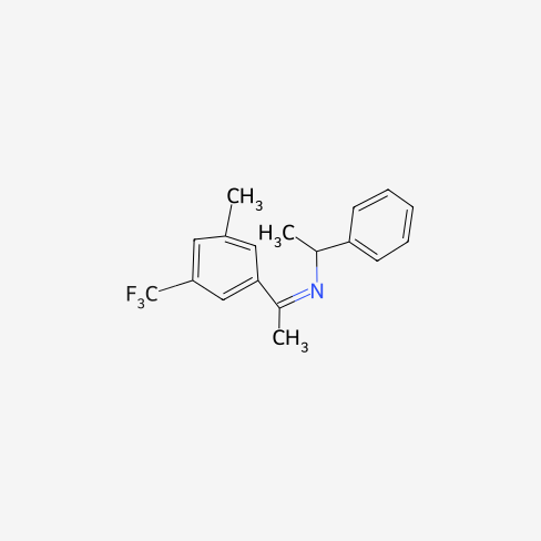 CC(=NC(C)c1ccccc1)c1cc(C)cc(C(F)(F)F)c1